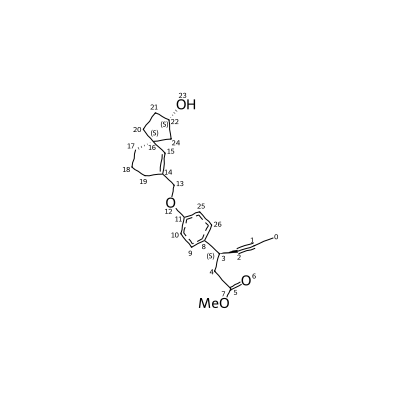 CC#C[C@@H](CC(=O)OC)c1ccc(OCC2=C[C@@]3(CCC2)CC[C@H](O)C3)cc1